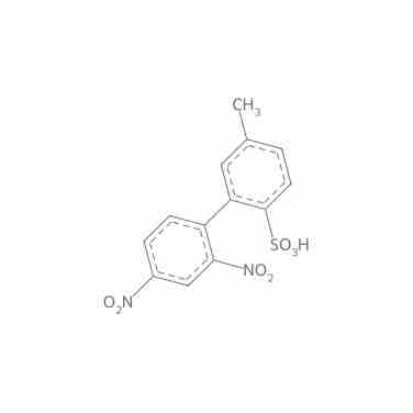 Cc1ccc(S(=O)(=O)O)c(-c2ccc([N+](=O)[O-])cc2[N+](=O)[O-])c1